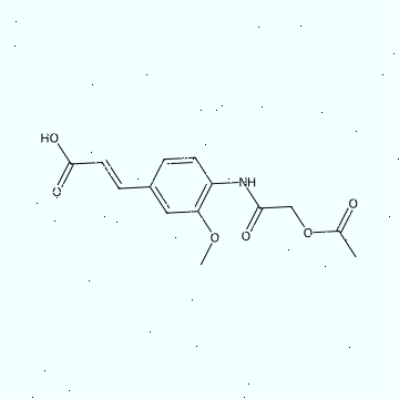 COc1cc(C=CC(=O)O)ccc1NC(=O)COC(C)=O